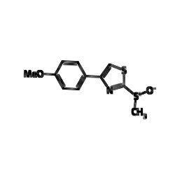 COc1ccc(-c2csc([S+](C)[O-])n2)cc1